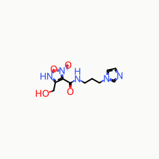 O=C(NCCCn1ccnc1)c1c(CO)[nH]o[n+]1=O